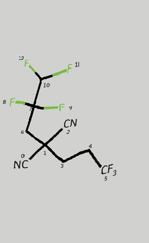 N#CC(C#N)(CCC(F)(F)F)CC(F)(F)C(F)F